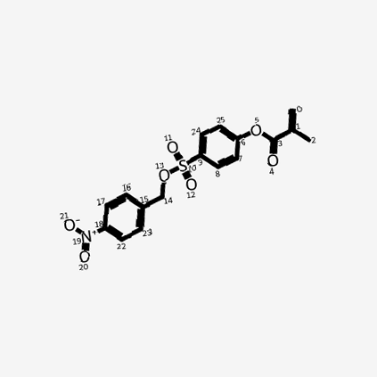 C=C(C)C(=O)Oc1ccc(S(=O)(=O)OCc2ccc([N+](=O)[O-])cc2)cc1